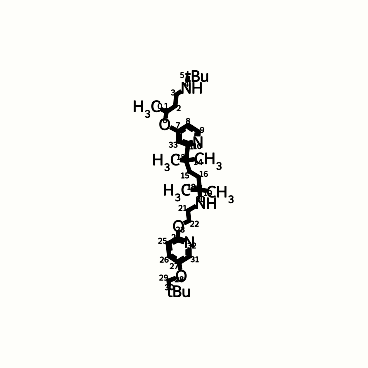 CC(CCNC(C)(C)C)Oc1ccnc(C(C)(C)CCC(C)(C)NCCOc2ccc(OCC(C)(C)C)cn2)c1